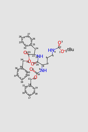 CC(C)(C)OC(=O)NCCCC(NC(=O)OCc1ccccc1)C(=O)NC(Cc1ccccc1)C(=O)OCc1ccccc1